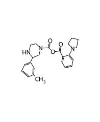 Cc1cccc(C2CN(C(=O)OC(=O)c3ccccc3N3CCCC3)CCN2)c1